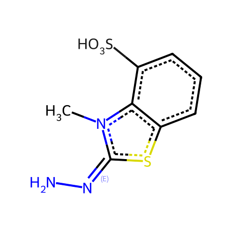 Cn1/c(=N\N)sc2cccc(S(=O)(=O)O)c21